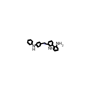 Nc1ccccc1-c1cccc(/C=C/c2ccc(Nc3ccccc3)cc2)c1N